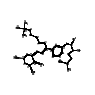 [2H]C(CCC(C)O)C([2H])Cc1cccc(/C(=C/C=C2C[C@@H](O)C[C@H](O)C2=C)CCCCCC(C)(C)O)c1